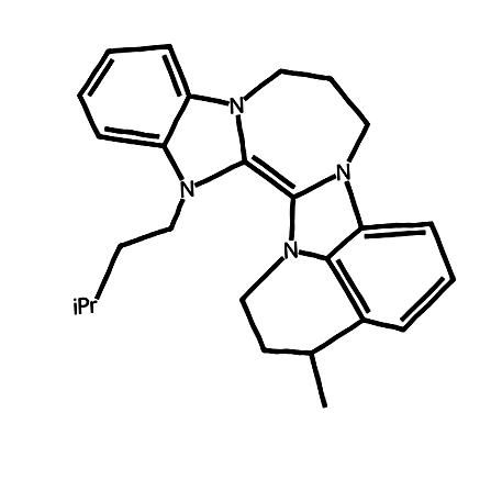 CC(C)CCN1C2=C3N(CCCN2c2ccccc21)c1cccc2c1N3CCC2C